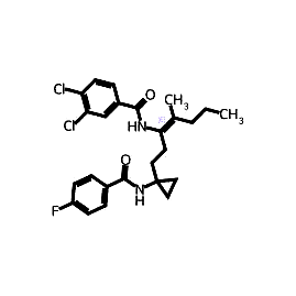 CCC/C(C)=C(\CCC1(NC(=O)c2ccc(F)cc2)CC1)NC(=O)c1ccc(Cl)c(Cl)c1